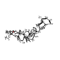 COC[C@]12CC[C@@](C)(O)C[C@H]1CC[C@H]1[C@@H]3CC[C@H](C(=O)Cn4nc5ccccc5n4)[C@@]3(C)CC[C@@H]12